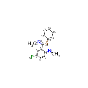 C=Nc1ccc(F)cc1/C(=N\C)SC1CCCCC1